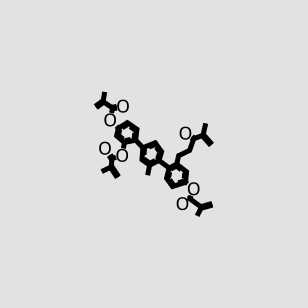 C=C(C)C(=O)CCc1cc(OC(=O)C(=C)C)ccc1-c1ccc(-c2ccc(OC(=O)C(=C)C)cc2OC(=O)C(=C)C)cc1C